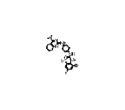 CN(C)c1nc(NC2CCC(NC(=O)Nc3c(Br)cc(F)cc3Br)CC2)nc2c1CCCC2